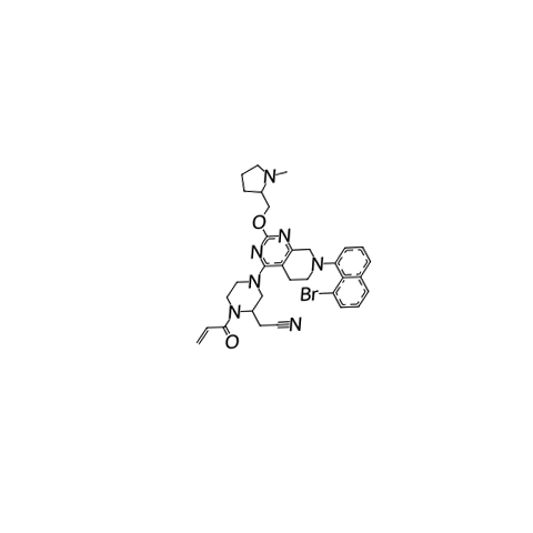 C=CC(=O)N1CCN(c2nc(OCC3CCCN3C)nc3c2CCN(c2cccc4cccc(Br)c24)C3)CC1CC#N